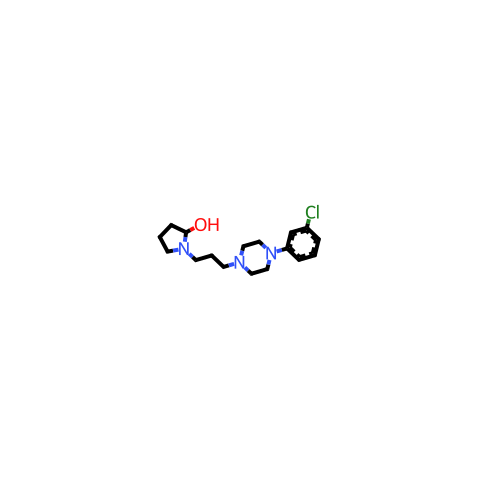 OC1CCCN1CCCN1CCN(c2cccc(Cl)c2)CC1